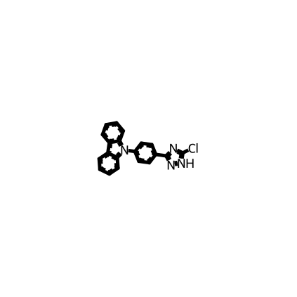 Clc1nc(-c2ccc(-n3c4ccccc4c4ccccc43)cc2)n[nH]1